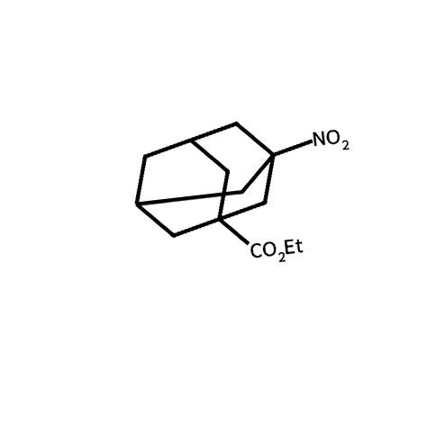 CCOC(=O)C12CC3CC(C1)CC([N+](=O)[O-])(C3)C2